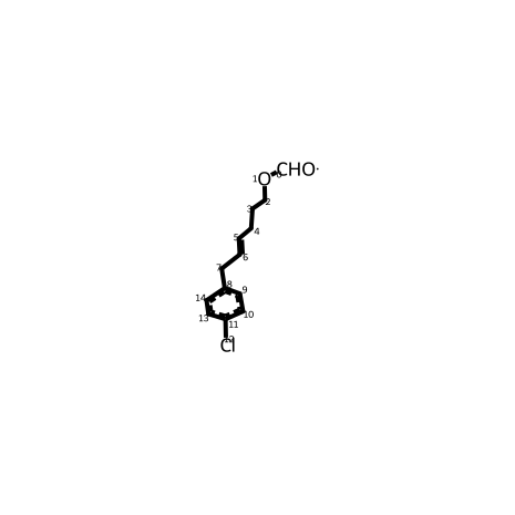 O=[C]OCCCC=CCc1ccc(Cl)cc1